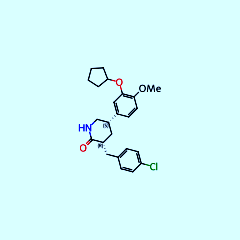 COc1ccc([C@H]2CNC(=O)[C@@H](Cc3ccc(Cl)cc3)C2)cc1OC1CCCC1